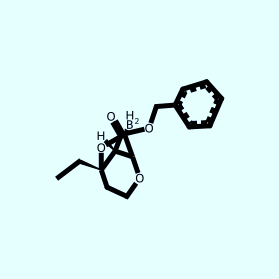 B[C@@H]1O[C@@]2(CC)CCOC1[C@H]2C(=O)OCc1ccccc1